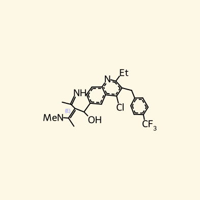 CCc1nc2ccc(C(O)/C(C(C)=N)=C(\C)NC)cc2c(Cl)c1Cc1ccc(C(F)(F)F)cc1